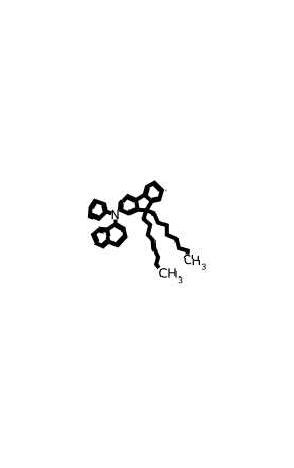 CCCCCCCCC1(CCCCCCCC)c2c[c]ccc2-c2ccc(N(c3ccccc3)c3cccc4ccccc34)cc21